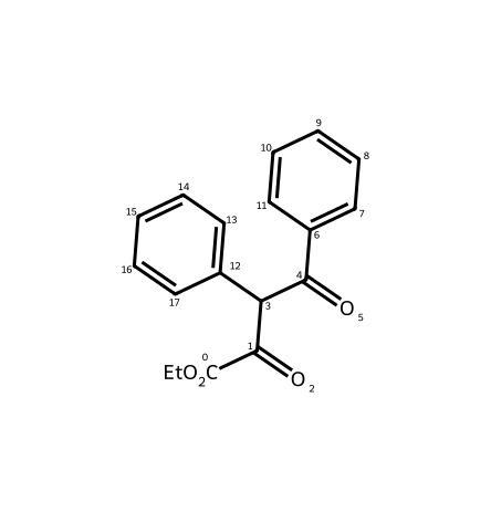 CCOC(=O)C(=O)C(C(=O)c1ccccc1)c1ccccc1